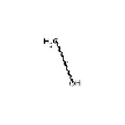 CCCCCCCCC[CH]CCCCCCCCO